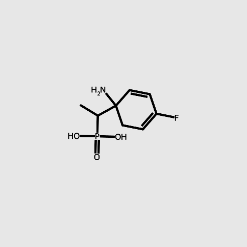 CC(C1(N)C=CC(F)=CC1)P(=O)(O)O